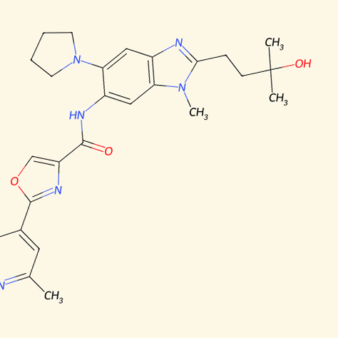 Cc1cc(-c2nc(C(=O)Nc3cc4c(cc3N3CCCC3)nc(CCC(C)(C)O)n4C)co2)ccn1